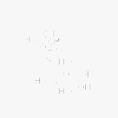 CC(CC/C=C/C(=O)OC(C)(C)C)O[C@@H]1OC(CO)[C@@H](O)C(O)[C@@H]1O